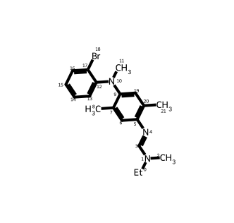 CCN(C)C=Nc1cc(C)c(N(C)c2ccccc2Br)cc1C